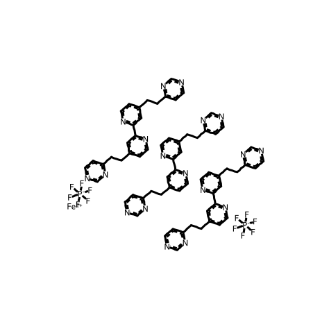 F[P-](F)(F)(F)(F)F.F[P-](F)(F)(F)(F)F.[Fe+2].c1cc(CCc2ccnc(-c3cc(CCc4ccncn4)ccn3)c2)ncn1.c1cc(CCc2ccnc(-c3cc(CCc4ccncn4)ccn3)c2)ncn1.c1cc(CCc2ccnc(-c3cc(CCc4ccncn4)ccn3)c2)ncn1